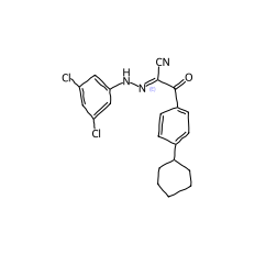 N#C/C(=N\Nc1cc(Cl)cc(Cl)c1)C(=O)c1ccc(C2CCCCC2)cc1